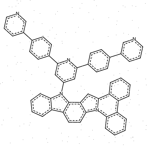 c1cncc(-c2ccc(-c3cc(-n4c5ccccc5c5ccc6c(cc7c8ccccc8c8ccccc8n76)c54)cc(-c4ccc(-c5cccnc5)cc4)n3)cc2)c1